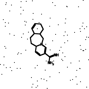 N=C(N)C1=CN2CC3CCC=CC3CCC2C=C1